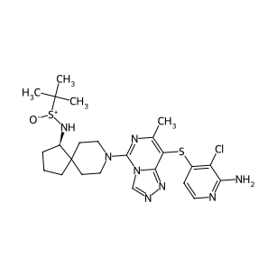 Cc1nc(N2CCC3(CCC[C@H]3N[S+]([O-])C(C)(C)C)CC2)n2cnnc2c1Sc1ccnc(N)c1Cl